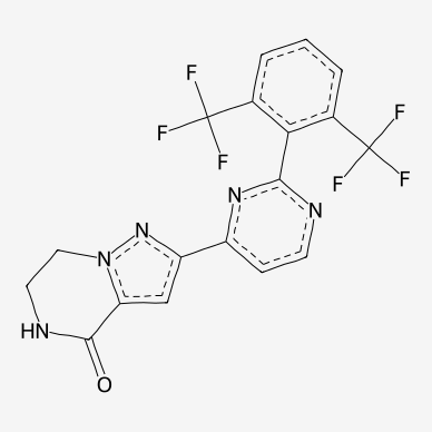 O=C1NCCn2nc(-c3ccnc(-c4c(C(F)(F)F)cccc4C(F)(F)F)n3)cc21